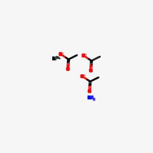 CC(=O)[O-].CC(=O)[O-].CC(=O)[O-].N.[Ni+3]